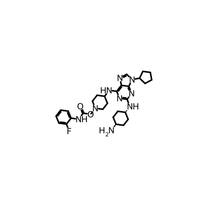 N[C@H]1CC[C@H](Nc2nc(NC3CCN(OC(=O)Nc4ccccc4F)CC3)c3ncn(C4CCCC4)c3n2)CC1